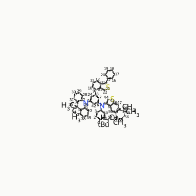 CC(C)(C)c1ccc(N(c2cc(-c3cccc4c(-c5ccccc5)scc34)cc(N3c4ccccc4C(C)(C)c4ccccc43)c2)c2csc3cc4c(cc23)C(C)(C)CCC4(C)C)cc1